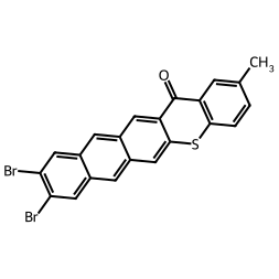 Cc1ccc2sc3cc4cc5cc(Br)c(Br)cc5cc4cc3c(=O)c2c1